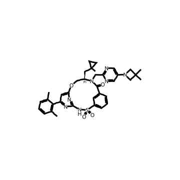 Cc1cccc(C)c1-c1cc2nc(n1)NS(=O)(=O)c1cccc(c1)C(=O)N(Cc1ncc(N3CC(C)(C)C3)cn1)[C@H](CC1(C)CC1)CO2